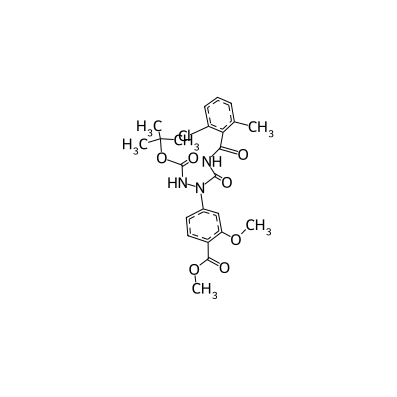 COC(=O)c1ccc(N(NC(=O)OC(C)(C)C)C(=O)NC(=O)c2c(C)cccc2Cl)cc1OC